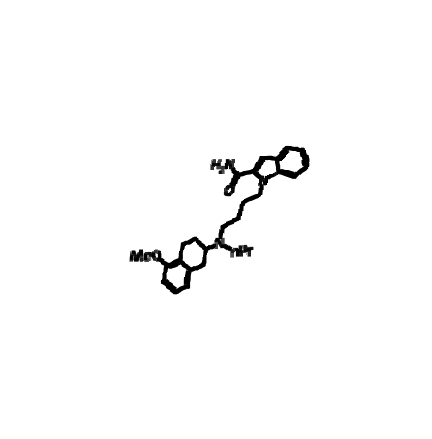 CCCN(CCCCn1c(C(N)=O)cc2ccccc21)C1CCc2c(cccc2OC)C1